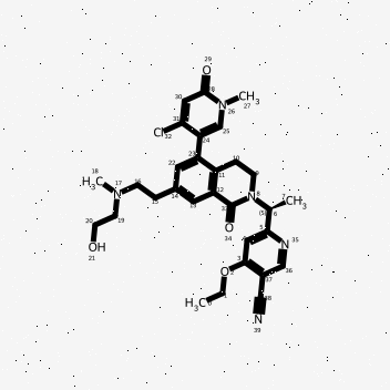 CCOc1cc([C@H](C)N2CCc3c(cc(CCN(C)CCO)cc3-c3cn(C)c(=O)cc3Cl)C2=O)ncc1C#N